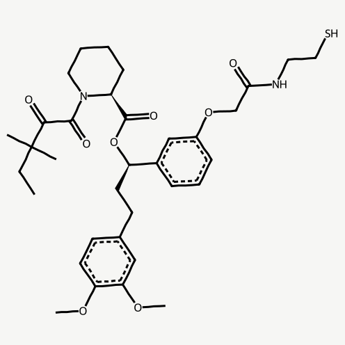 CCC(C)(C)C(=O)C(=O)N1CCCC[C@H]1C(=O)O[C@H](CCc1ccc(OC)c(OC)c1)c1cccc(OCC(=O)NCCS)c1